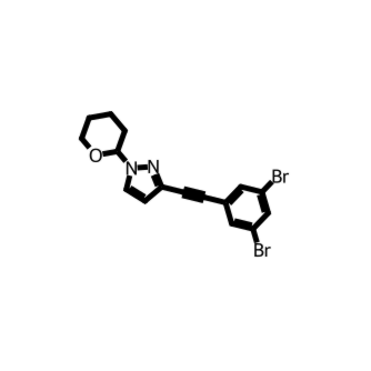 Brc1cc(Br)cc(C#Cc2ccn(C3CCCCO3)n2)c1